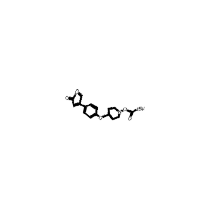 CC(C)(C)C(=O)ON1CCC(Oc2ccc(C3=CC(=O)OC3)cc2)CC1